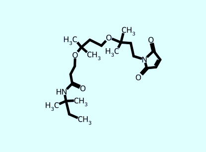 CCC(C)(C)NC(=O)CCOC(C)(C)CCOC(C)(C)CCN1C(=O)C=CC1=O